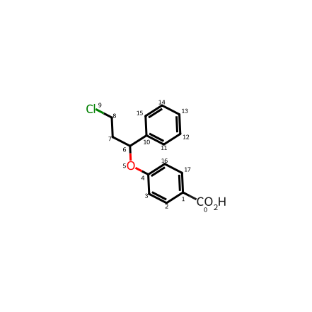 O=C(O)c1ccc(OC(CCCl)c2ccccc2)cc1